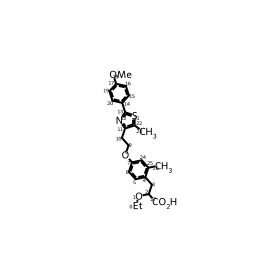 CCOC(Cc1ccc(OCCc2nc(-c3ccc(OC)cc3)sc2C)cc1C)C(=O)O